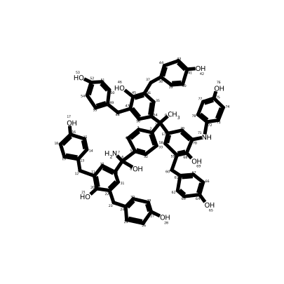 CC(c1ccc(C(N)(O)c2cc(Cc3ccc(O)cc3)c(O)c(Cc3ccc(O)cc3)c2)cc1)(c1cc(Cc2ccc(O)cc2)c(O)c(Cc2ccc(O)cc2)c1)c1cc(Cc2ccc(O)cc2)c(O)c(Nc2ccc(O)cc2)c1